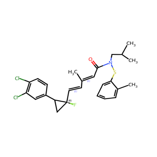 CC(/C=C/[C@]1(F)CC1c1ccc(Cl)c(Cl)c1)=C\C(=O)N(CC(C)C)Sc1ccccc1C